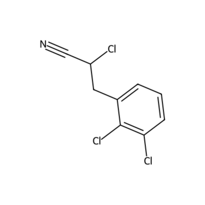 N#CC(Cl)Cc1cccc(Cl)c1Cl